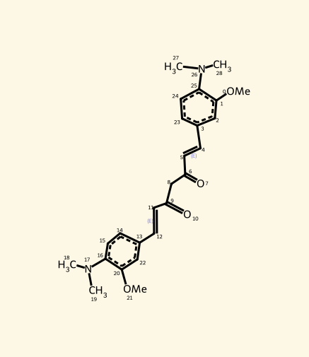 COc1cc(/C=C/C(=O)CC(=O)/C=C/c2ccc(N(C)C)c(OC)c2)ccc1N(C)C